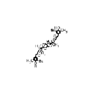 Cc1cc(CC(=O)COCC(C)(C)C2OCC3(CO2)COC(C(C)(C)COCC(=O)Cc2cc(C)c(O)c(C(C)(C)C)c2)OC3)cc(C(C)(C)C)c1O